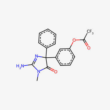 CN1C(=O)C(c2ccccc2)(c2cccc(OC(=O)C(F)(F)F)c2)N=C1N